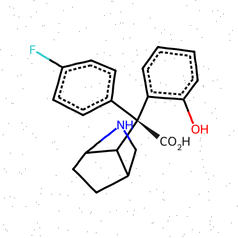 O=C(O)[C@@](c1ccc(F)cc1)(c1ccccc1O)C1C2CCC1NC2